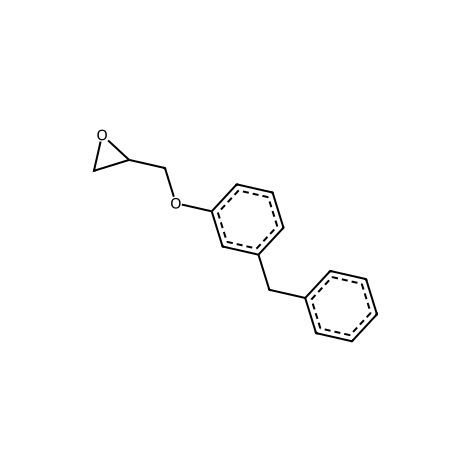 c1ccc(Cc2cccc(OCC3CO3)c2)cc1